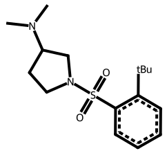 CN(C)C1CCN(S(=O)(=O)c2ccccc2C(C)(C)C)C1